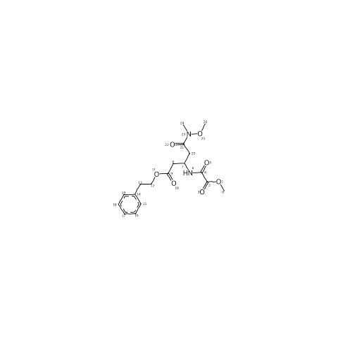 COC(=O)C(=O)NC(CC(=O)OCCc1ccccc1)CC(=O)N(C)OC